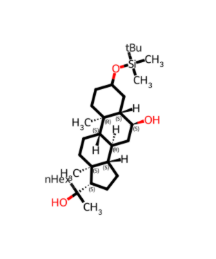 CCCCCCC(C)(O)[C@H]1CC[C@H]2[C@@H]3C[C@H](O)[C@H]4CC(O[Si](C)(C)C(C)(C)C)CC[C@]4(C)[C@H]3CC[C@]12C